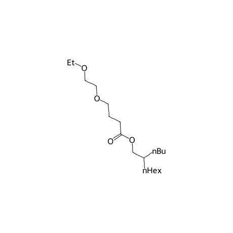 CCCCCCC(CCCC)COC(=O)CCCOCCOCC